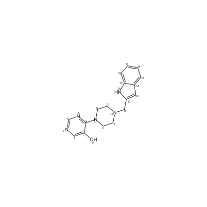 Oc1cncnc1N1CCN(Cc2cc3ccccc3[nH]2)CC1